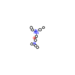 c1ccc(-c2ccc(-c3nc(-c4ccc5ccccc5c4)nc(-c4ccc5c(c4)oc4cc(-n6c7ccccc7c7cc8ccccc8cc76)ccc45)n3)cc2)cc1